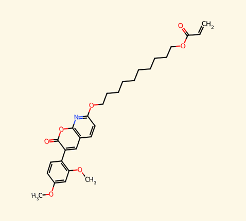 C=CC(=O)OCCCCCCCCCCOc1ccc2cc(-c3ccc(OC)cc3OC)c(=O)oc2n1